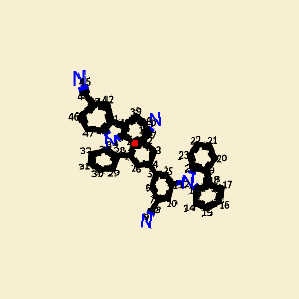 N#Cc1cc(-c2cc(C#N)cc(-n3c4ccccc4c4ccccc43)c2)cc(-c2ccccc2-n2c3ccccc3c3cc(C#N)ccc32)c1